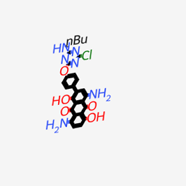 CCCCNc1nc(Cl)nc(Oc2ccc(-c3cc(N)c4c(c3O)C(=O)c3c(N)ccc(O)c3C4=O)cc2)n1